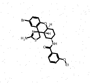 CCOc1cccc(C(=O)N[C@@H]2CC[C@@H]3Oc4ccc(Br)cc4C4(CSC(N)=N4)[C@H]3C2)c1